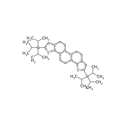 CC(C)[Si](c1cc2ccc3c4ccc5cc([Si](C(C)C)(C(C)C)C(C)C)sc5c4ccc3c2s1)(C(C)C)C(C)C